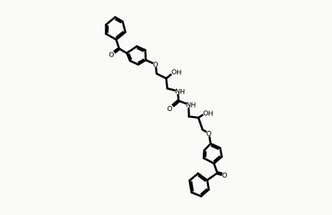 O=C(NCC(O)COc1ccc(C(=O)c2ccccc2)cc1)NCC(O)COc1ccc(C(=O)c2ccccc2)cc1